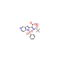 CC(C)(C)[S@@+]([O-])N=C(C(=O)O)c1cc2cnccc2n1S(=O)(=O)c1ccccc1